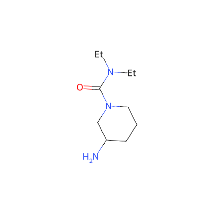 CCN(CC)C(=O)N1CCCC(N)C1